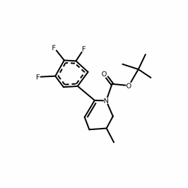 CC1CC=C(c2cc(F)c(F)c(F)c2)N(C(=O)OC(C)(C)C)C1